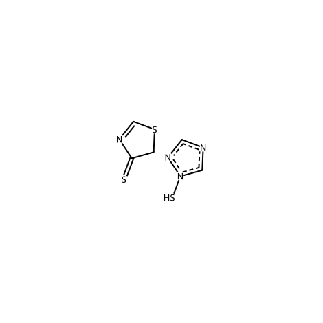 S=C1CSC=N1.Sn1cncn1